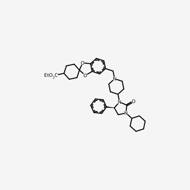 CCOC(=O)C1CCC2(CC1)Oc1ccc(CN3CCC(N4C(=O)N(C5CCCCC5)C[C@H]4c4ccccc4)CC3)cc1O2